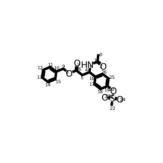 CC(=O)NC(CC(=O)OCc1ccccc1)c1ccc(OS(C)(=O)=O)cc1